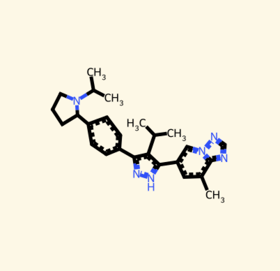 Cc1cc(-c2[nH]nc(-c3ccc(C4CCCN4C(C)C)cc3)c2C(C)C)cn2ncnc12